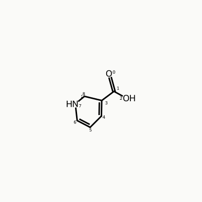 O=C(O)C1=CC=CN[C]1